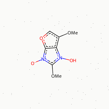 COc1coc2c1n(O)c(OC)[n+]2[O-]